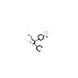 NS(=O)(=O)c1ccc(-c2c(-c3ccncc3)n[nH]c2CC(F)F)cc1